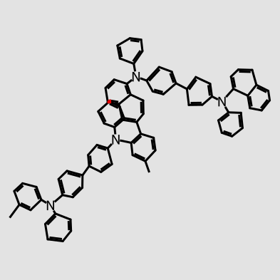 Cc1cccc(N(c2ccccc2)c2ccc(-c3ccc(N(c4ccccc4)c4cc(C)ccc4-c4ccc5c(N(c6ccccc6)c6ccc(-c7ccc(N(c8ccccc8)c8cccc9ccccc89)cc7)cc6)cccc5c4)cc3)cc2)c1